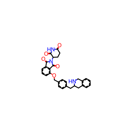 O=C1CCC(N2C(=O)c3cccc(OCc4ccc(CC5Cc6ccccc6CN5)cc4)c3C2=O)C(=O)N1